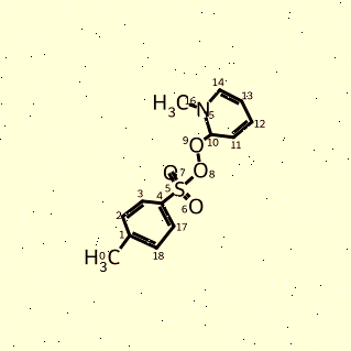 Cc1ccc(S(=O)(=O)OOC2C=CC=CN2C)cc1